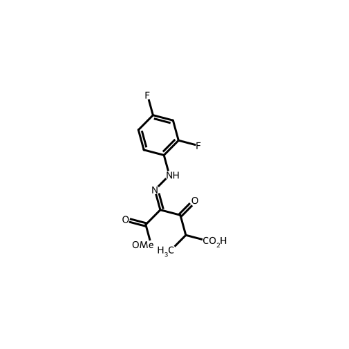 COC(=O)C(=NNc1ccc(F)cc1F)C(=O)C(C)C(=O)O